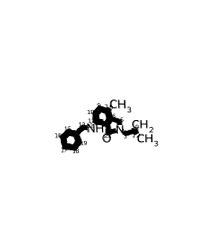 C=C(C)CN1Cc2c(C)ccc(NCc3ccccc3)c2C1=O